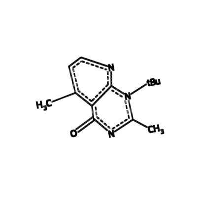 Cc1ccnc2c1c(=O)nc(C)n2C(C)(C)C